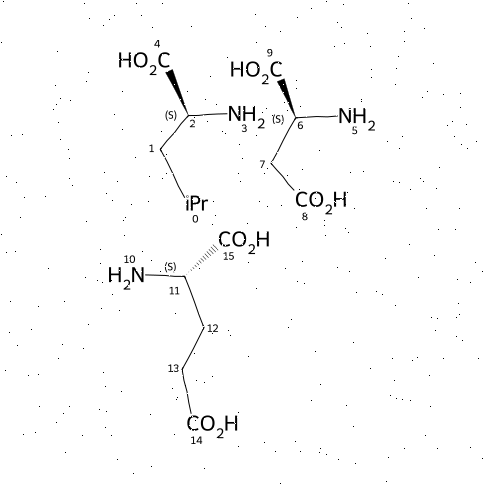 CC(C)C[C@H](N)C(=O)O.N[C@@H](CC(=O)O)C(=O)O.N[C@@H](CCC(=O)O)C(=O)O